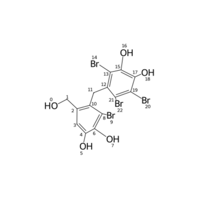 OCc1cc(O)c(O)c(Br)c1Cc1c(Br)c(O)c(O)c(Br)c1Br